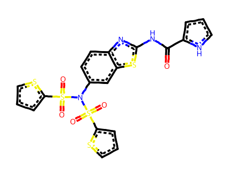 O=C(Nc1nc2ccc(N(S(=O)(=O)c3cccs3)S(=O)(=O)c3cccs3)cc2s1)c1ccc[nH]1